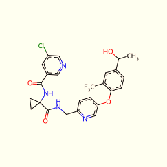 CC(O)c1ccc(Oc2ccc(CNC(=O)C3(NC(=O)c4cncc(Cl)c4)CC3)nc2)c(C(F)(F)F)c1